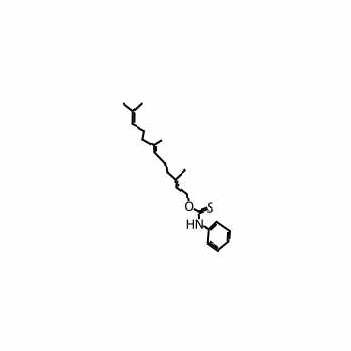 CC(C)=CCC/C(C)=C/CC/C(C)=C/COC(=S)Nc1ccccc1